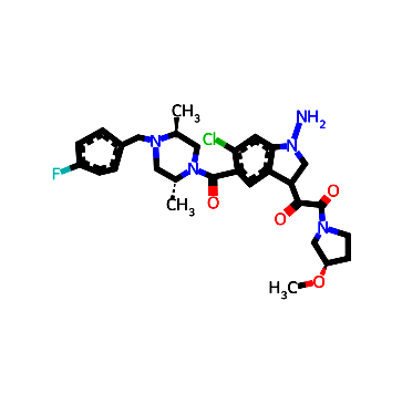 CO[C@@H]1CCN(C(=O)C(=O)C2CN(N)c3cc(Cl)c(C(=O)N4C[C@H](C)N(Cc5ccc(F)cc5)C[C@H]4C)cc32)C1